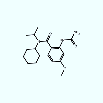 COc1ccc(C(=O)N(C(C)C)C2CCCCC2)c(NC(N)=O)c1